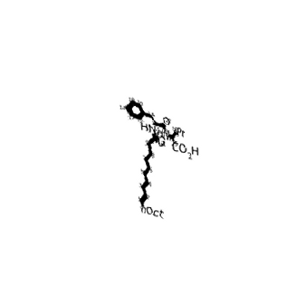 CCCCCCCCC=CCCCCCCCC(=O)N[C@@H](Cc1ccccc1)C(=O)N[C@H](C(=O)O)C(C)C